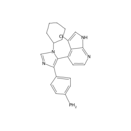 Pc1ccc(-c2ncn(C3CCCCC3)c2-c2ccnc3[nH]cc(Cl)c23)cc1